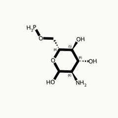 N[C@H]1C(O)O[C@H](COP)[C@@H](O)[C@@H]1O